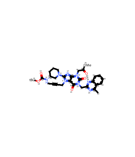 CC#CCn1c(N2CCC[C@@H](NC(=O)OC(C)(C)C)C2)nc2c1c(=O)n(Cc1nc(C)c3ccccc3n1)c(=O)n2CC(=O)OC